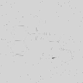 Cl.O=C(O)[C@@H]1CCCN1C(=O)CNS(=O)(=O)c1cccc2cccnc12